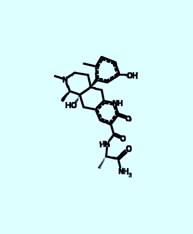 Cc1ccc(O)cc1[C@]12CCN(C)[C@H](C)[C@]1(O)Cc1cc(C(=O)N[C@@H](C)C(N)=O)c(=O)[nH]c1C2